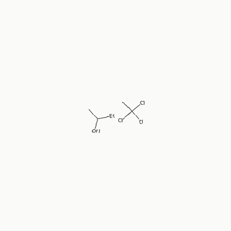 CC(Cl)(Cl)Cl.CCC(C)O